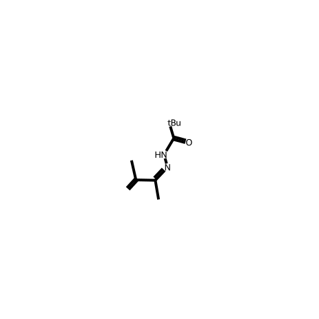 C=C(C)C(C)=NNC(=O)C(C)(C)C